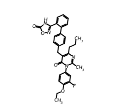 CCCc1nc(C)n(-c2ccc(OCC)c(F)c2)c(=O)c1Cc1ccc(-c2ccccc2-c2noc(=O)[nH]2)cc1